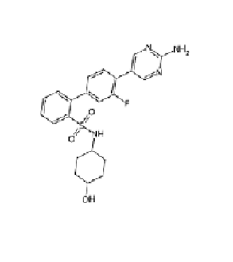 Nc1ncc(-c2ccc(-c3ccccc3S(=O)(=O)NC3CCC(O)CC3)cc2F)cn1